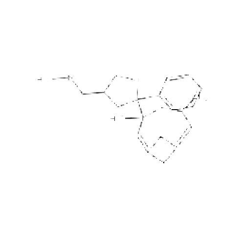 CNCC1COC(c2ccccc2)(C2(C)C=C3CC(=CC(C)C2)C3)C1